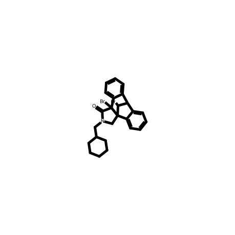 O=C1N(CC2CCCCC2)CC23c4ccccc4C(c4ccccc4C12Br)C3Br